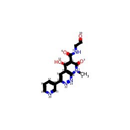 Cn1c(=O)c(C(=O)NCC=O)c(O)c2cc(-c3cccnc3)nnc21